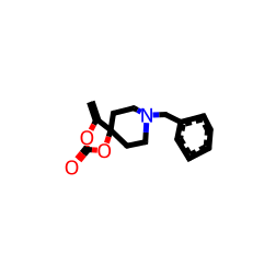 C=C1OC(=O)OC12CCN(Cc1ccccc1)CC2